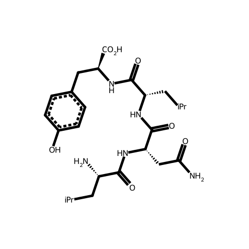 CC(C)C[C@H](NC(=O)[C@H](CC(N)=O)NC(=O)[C@@H](N)CC(C)C)C(=O)N[C@@H](Cc1ccc(O)cc1)C(=O)O